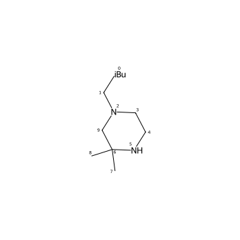 CCC(C)CN1CCNC(C)(C)C1